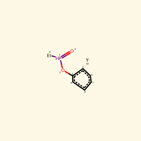 CC[PH](=O)Oc1ccccc1.[Y]